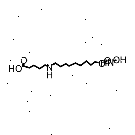 O=C(O)CCCCNCCCCCCCCCOONO